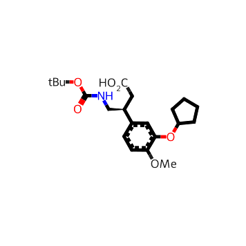 COc1ccc([C@@H](CNC(=O)OC(C)(C)C)CC(=O)O)cc1OC1CCCC1